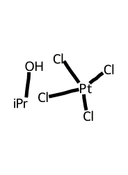 CC(C)O.[Cl][Pt]([Cl])([Cl])[Cl]